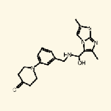 Cc1cn2c(C(O)NCc3cccc(N4CCC(=O)CC4)c3)c(C)nc2s1